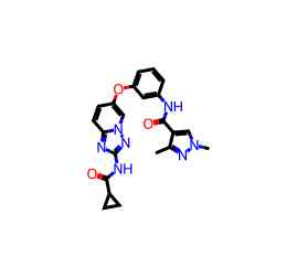 Cc1nn(C)cc1C(=O)Nc1cccc(Oc2ccc3nc(NC(=O)C4CC4)nn3c2)c1